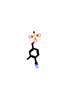 Cc1cc(COS(C)(=O)=O)ccc1C#N